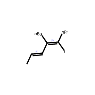 C/C=C/C(CCCC)=C(\I)CCC